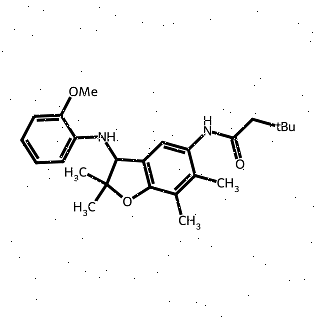 COc1ccccc1NC1c2cc(NC(=O)CC(C)(C)C)c(C)c(C)c2OC1(C)C